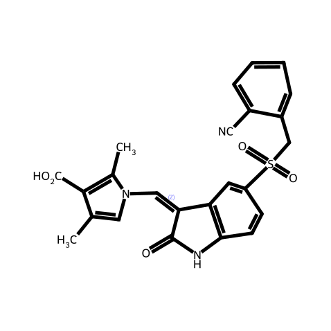 Cc1cn(/C=C2\C(=O)Nc3ccc(S(=O)(=O)Cc4ccccc4C#N)cc32)c(C)c1C(=O)O